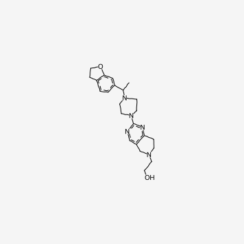 CC(c1ccc2c(c1)OCC2)N1CCN(c2ncc3c(n2)CCN(CCO)C3)CC1